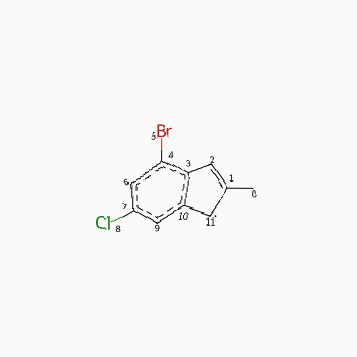 CC1=Cc2c(Br)cc(Cl)cc2[CH]1